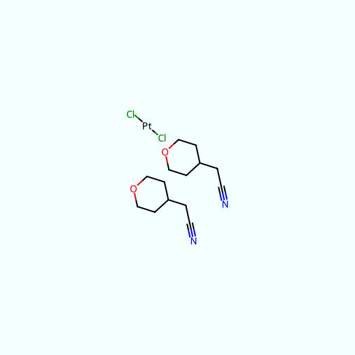 N#CCC1CCOCC1.N#CCC1CCOCC1.[Cl][Pt][Cl]